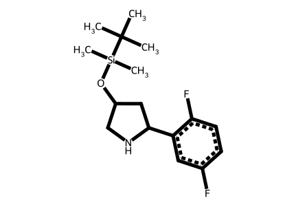 CC(C)(C)[Si](C)(C)OC1CNC(c2cc(F)ccc2F)C1